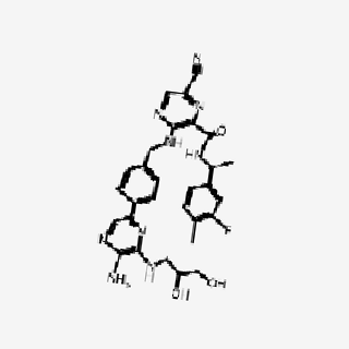 Cc1ccc([C@H](C)NC(=O)c2nc(C#N)cnc2NCc2ccc(-c3cnc(N)c(NCC(O)CO)n3)cc2)cc1F